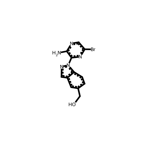 Nc1ncc(Br)nc1-n1ncc2cc(CO)ccc21